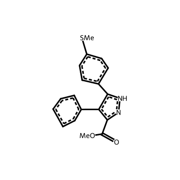 COC(=O)c1n[nH]c(-c2ccc(SC)cc2)c1-c1ccccc1